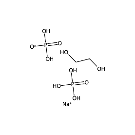 O=P(O)(O)O.O=P([O-])(O)O.OCCO.[Na+]